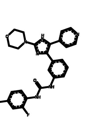 O=C(Nc1cccc(-c2nc(N3CCOCC3)[nH]c2-c2ccncc2)c1)Nc1ccc(F)cc1F